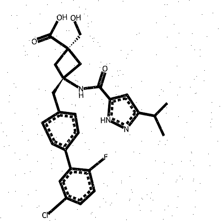 CC(C)c1cc(C(=O)N[C@]2(Cc3ccc(-c4cc(Cl)ccc4F)cc3)C[C@@](CO)(C(=O)O)C2)[nH]n1